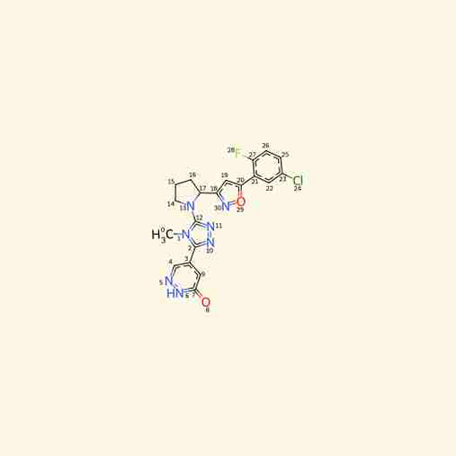 Cn1c(-c2cn[nH]c(=O)c2)nnc1N1CCCC1c1cc(-c2cc(Cl)ccc2F)on1